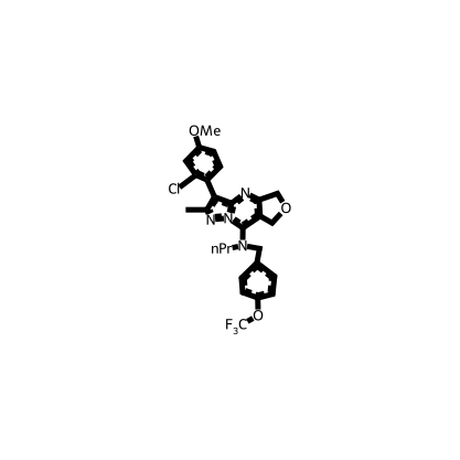 CCCN(Cc1ccc(OC(F)(F)F)cc1)c1c2c(nc3c(-c4ccc(OC)cc4Cl)c(C)nn13)COC2